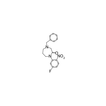 O=C1CN(Cc2ccccc2)CCCN1c1cc(F)ccc1[N+](=O)[O-]